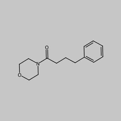 O=C(CCCc1ccccc1)N1CCOCC1